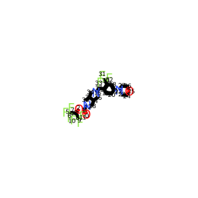 O=C(OC(C(F)(F)F)C(F)(F)F)N1CC2CN(Cc3ccc(N4CCOCC4)cc3C(F)(F)F)CC2C1